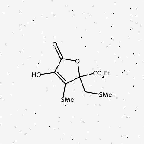 CCOC(=O)C1(CSC)OC(=O)C(O)=C1SC